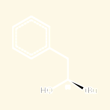 CC(C)(C)[C@@H](O)Cc1ccccc1